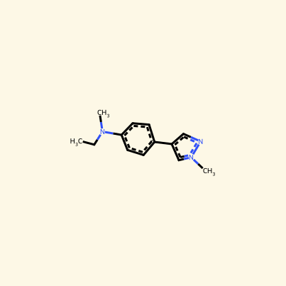 CCN(C)c1ccc(-c2cnn(C)c2)cc1